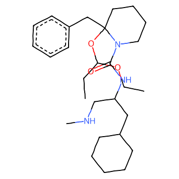 CCOC(CC)OC1(Cc2ccccc2)CCCCN1C(=O)NC(CNC)CC1CCCCC1